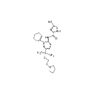 CC(C)(OCCN1CCCC1)c1ccc(NC(=O)c2nc(C#N)c[nH]2)c(C2=CCCCC2)c1